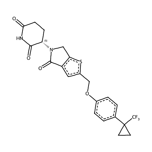 O=C1CC[C@H](N2Cc3sc(COc4ccc(C5(C(F)(F)F)CC5)cc4)cc3C2=O)C(=O)N1